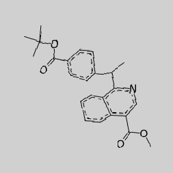 COC(=O)c1cnc(C(C)c2ccc(C(=O)OC(C)(C)C)cc2)c2ccccc12